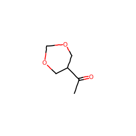 CC(=O)C1COCOC1